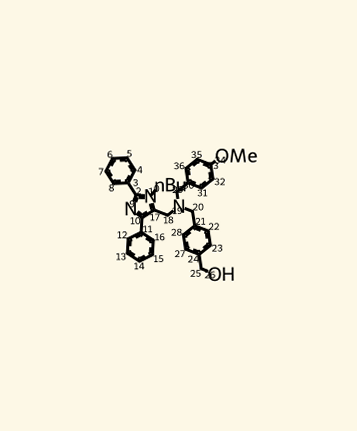 CCCCn1c(-c2ccccc2)nc(-c2ccccc2)c1CN(Cc1ccc(CO)cc1)Cc1ccc(OC)cc1